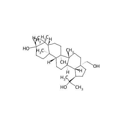 CC(C)(O)[C@@H]1CC[C@]2(CO)CC[C@]3(C)[C@H](CC[C@@H]4[C@@]5(C)CC[C@](C)(O)C(C)(C)[C@@H]5CC[C@]43C)[C@@H]12